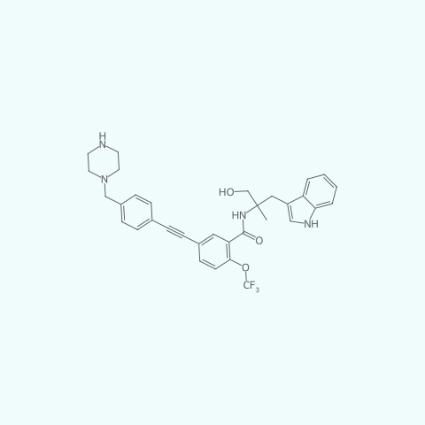 CC(CO)(Cc1c[nH]c2ccccc12)NC(=O)c1cc(C#Cc2ccc(CN3CCNCC3)cc2)ccc1OC(F)(F)F